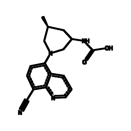 C[C@H]1CC(NC(=O)O)CN(c2ccc(C#N)c3ncccc23)C1